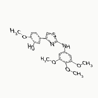 COc1ccc(-c2csc(Nc3cc(OC)c(OC)c(OC)c3)n2)cc1O